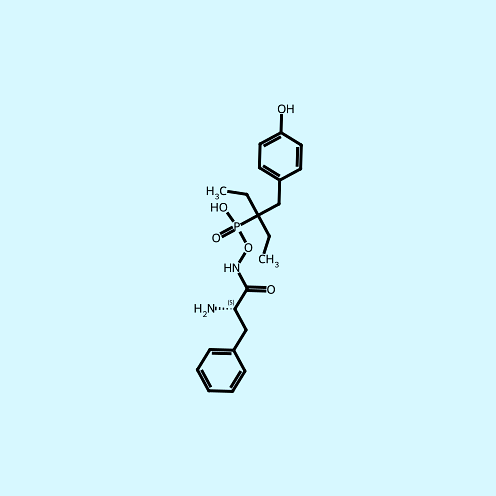 CCC(CC)(Cc1ccc(O)cc1)P(=O)(O)ONC(=O)[C@@H](N)Cc1ccccc1